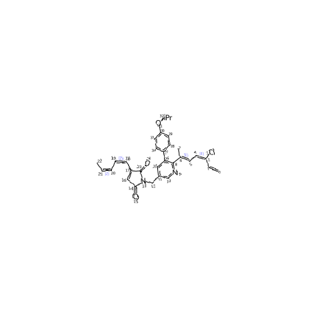 C=C/C(Cl)=C\C=C(/C)c1ncc(CN2C(=O)C=C(/C=C\C=C/C)C2=O)cc1-c1ccc(OC(C)C)cc1